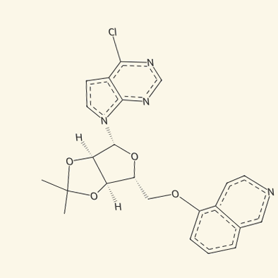 CC1(C)O[C@@H]2[C@H](O1)[C@@H](COc1cccc3cnccc13)O[C@H]2n1ccc2c(Cl)ncnc21